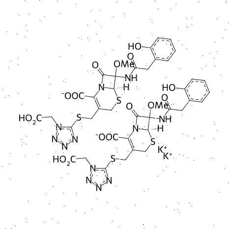 COC1(NC(=O)Cc2ccccc2O)C(=O)N2C(C(=O)[O-])=C(CSc3nnnn3CC(=O)O)CS[C@@H]21.COC1(NC(=O)Cc2ccccc2O)C(=O)N2C(C(=O)[O-])=C(CSc3nnnn3CC(=O)O)CS[C@@H]21.[K+].[K+]